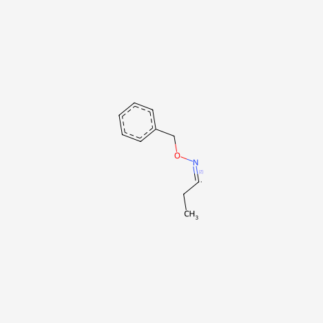 CC/[C]=N\OCc1ccccc1